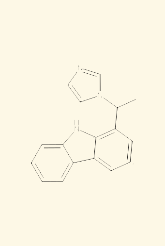 CC(c1cccc2c1[nH]c1ccccc12)n1ccnc1